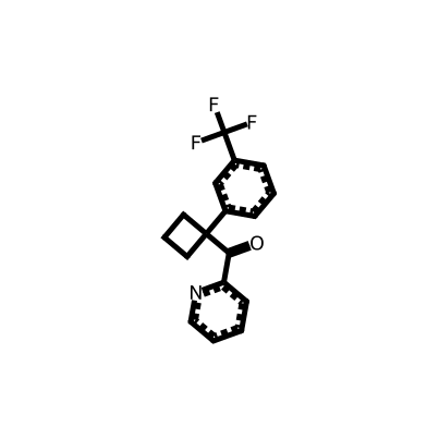 O=C(c1ccccn1)C1(c2cccc(C(F)(F)F)c2)CCC1